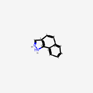 c1ccc2c(c1)ccc1cn[nH]c12